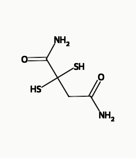 NC(=O)CC(S)(S)C(N)=O